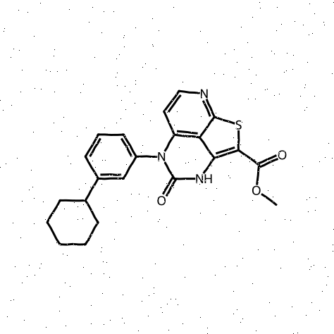 COC(=O)c1sc2nccc3c2c1NC(=O)N3c1cccc(C2CCCCC2)c1